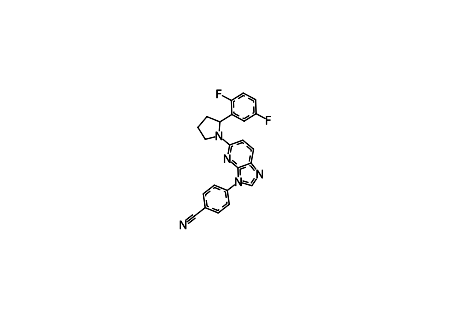 N#Cc1ccc(-n2cnc3ccc(N4CCCC4c4cc(F)ccc4F)nc32)cc1